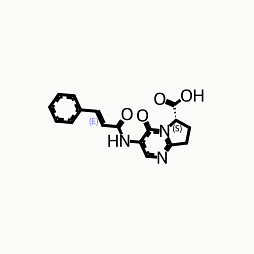 O=C(/C=C/c1ccccc1)Nc1cnc2n(c1=O)[C@H](C(=O)O)CC2